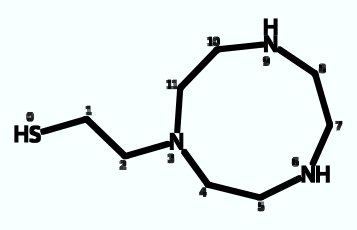 SCCN1CCNCCNCC1